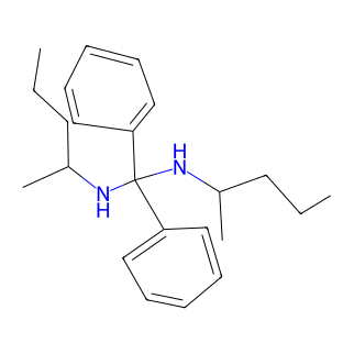 CCCC(C)NC(NC(C)CCC)(c1ccccc1)c1ccccc1